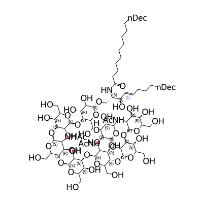 CCCCCCCCCCCCC/C=C/[C@@H](O)[C@H](CO[C@@H]1OC(CO)[C@@H](O[C@@H]2OC(CO)[C@H](O)[C@H](O[C@@H]3OC(CO)[C@@H](O[C@@H]4OC(CO)[C@H](O)[C@H](O[C@@H]5OC(CO)[C@@H](O[C@@H]6OC(CO)[C@H](O)[C@H](O[C@H]7OC(CO)[C@H](O)[C@H](O)C7NC(C)=O)C6O[C@H]6OC(C)[C@@H](O)C(O)[C@@H]6O)[C@H](O)C5NC(C)=O)C4O)[C@H](O)C3NC(C)=O)C2O)[C@H](O)C1O)NC(=O)CCCCCCCCCCCCCCCCCCC